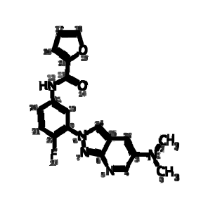 CN(C)c1cnc2nn(-c3cc(NC(=O)c4ccco4)ccc3F)cc2c1